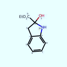 CCOC(=O)C1(O)Cc2ccccc2N1